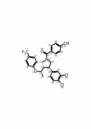 C[C@@H](Oc1ccc(C(F)(F)F)cc1)[C@@H]1CN(C(=O)c2ccc(C#N)cc2)C[C@H]1c1ccc(Cl)c(Cl)c1